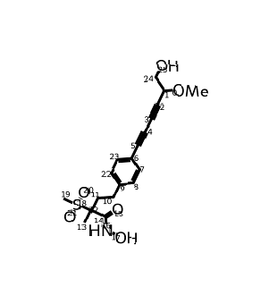 COC(C#CC#Cc1ccc(CCC(C)(C(=O)NO)S(C)(=O)=O)cc1)CO